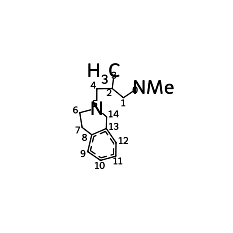 CNCC(C)CN1CCc2ccccc2C1